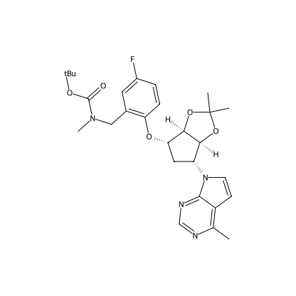 Cc1ncnc2c1ccn2[C@@H]1C[C@H](Oc2ccc(F)cc2CN(C)C(=O)OC(C)(C)C)[C@H]2OC(C)(C)O[C@H]21